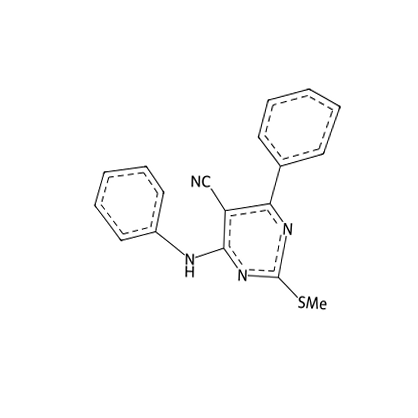 CSc1nc(Nc2ccccc2)c(C#N)c(-c2ccccc2)n1